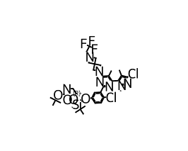 Cc1c(-c2c(C)c(Cl)nn2C)nc(-c2cc(OC[C@@H](CN(C)C(=O)OC(C)(C)C)O[Si](C)(C)C(C)(C)C)ccc2Cl)nc1N1CC2(CN(CC(F)(F)F)C2)C1